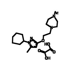 CC(=O)N1CCN(CCOc2cc(C)n(C3CCCCC3)n2)CC1.O=C(O)C(=O)O